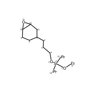 CCO[Si](OCCCC1CCC2OC2C1)(C(C)C)C(C)C